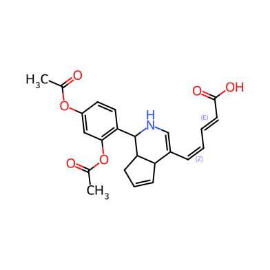 CC(=O)Oc1ccc(C2NC=C(/C=C\C=C\C(=O)O)C3C=CCC32)c(OC(C)=O)c1